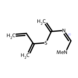 C=CC(=C)SC(=C)/N=C\NC